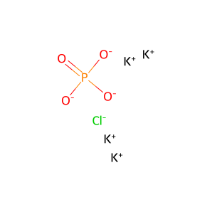 O=P([O-])([O-])[O-].[Cl-].[K+].[K+].[K+].[K+]